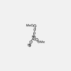 COc1cccc(COCCOCc2csc(N(Cc3ccc(-n4cccn4)cc3)Cc3cccc(OC)c3)n2)c1